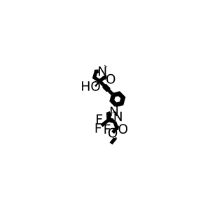 CCOC(=O)c1nn(-c2cccc(C#C[C@]3(O)CCN(C)C3=O)c2)cc1C(F)(F)F